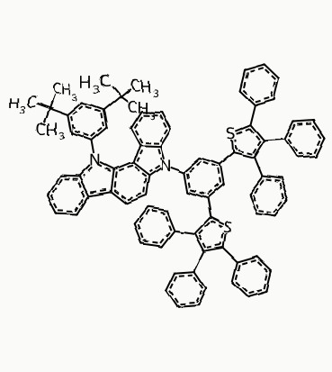 CC(C)(C)c1cc(-n2c3ccccc3c3ccc4c(c5ccccc5n4-c4cc(-c5sc(-c6ccccc6)c(-c6ccccc6)c5-c5ccccc5)cc(-c5sc(-c6ccccc6)c(-c6ccccc6)c5-c5ccccc5)c4)c32)cc(C(C)(C)C)c1